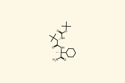 CC(C)(C)OC(=O)N[C@H](C(=O)N[C@](C)(C(N)=O)C1CCCCC1)C(C)(C)C